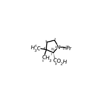 CC(C)N1CCC(C)(C)[C@H]1C(=O)O